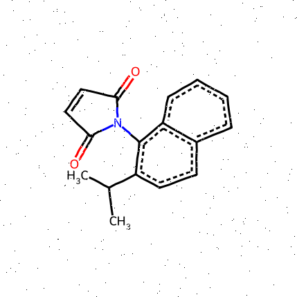 CC(C)c1ccc2ccccc2c1N1C(=O)C=CC1=O